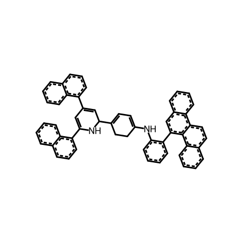 C1=C(Nc2ccccc2-c2cc3ccccc3c3ccc4ccccc4c23)CCC(C2C=C(c3cccc4ccccc34)C=C(c3cccc4ccccc34)N2)=C1